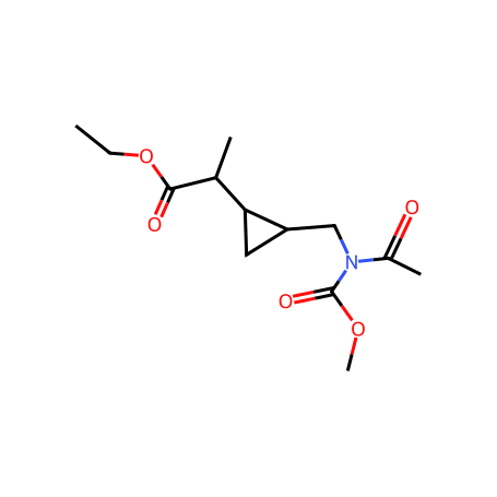 CCOC(=O)C(C)C1CC1CN(C(C)=O)C(=O)OC